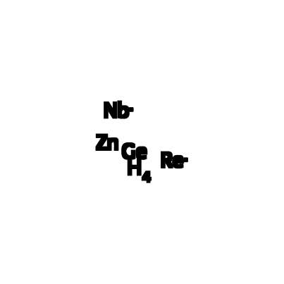 [GeH4].[Nb].[Re].[Zn]